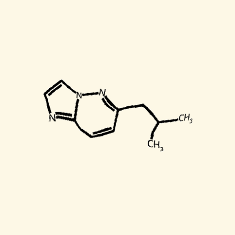 CC(C)Cc1ccc2nccn2n1